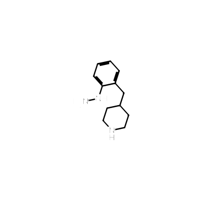 NNc1ccccc1CC1CCNCC1